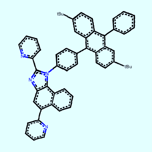 CC(C)(C)c1ccc2c(-c3ccc(-n4c(-c5ccccn5)nc5cc(-c6ccccn6)c6ccccc6c54)cc3)c3cc(C(C)(C)C)ccc3c(-c3ccccc3)c2c1